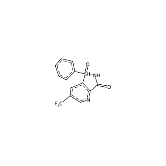 O=C1N[SH](=O)(c2ccccc2)c2cc(C(F)(F)F)cnc21